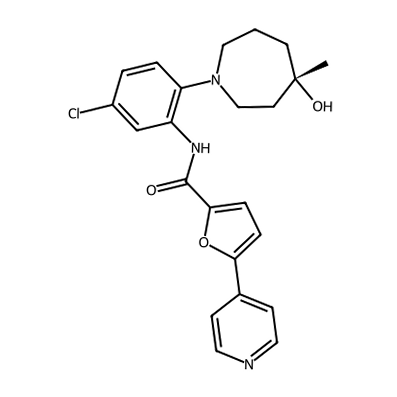 C[C@]1(O)CCCN(c2ccc(Cl)cc2NC(=O)c2ccc(-c3ccncc3)o2)CC1